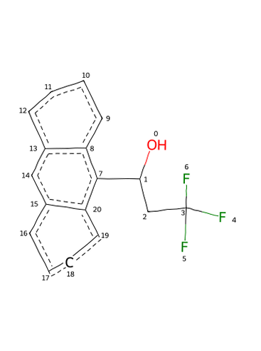 OC(CC(F)(F)F)c1c2ccccc2cc2ccccc12